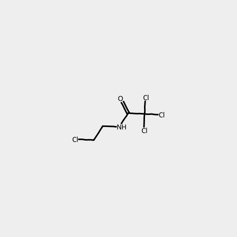 O=C(NCCCl)C(Cl)(Cl)Cl